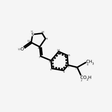 CC(C(=O)O)c1ccc(/C=C2\CCSC2=O)cc1